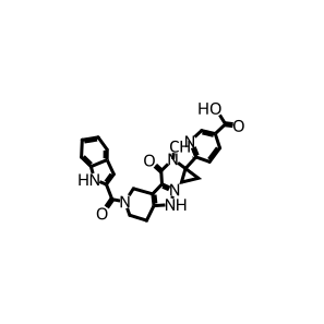 CN(C(=O)c1n[nH]c2c1CN(C(=O)c1cc3ccccc3[nH]1)CC2)C1(c2ccc(C(=O)O)cn2)CC1